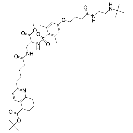 COC(=O)[C@@H](CNC(=O)CCCCc1ccc2c(n1)CCCC2C(=O)OC(C)(C)C)NS(=O)(=O)c1c(C)cc(OCCCC(=O)NCCNC(C)(C)C)cc1C